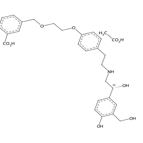 CC(=O)O.O=C(O)c1cccc(COCCOc2ccc(CCNC[C@H](O)c3ccc(O)c(CO)c3)cc2)c1